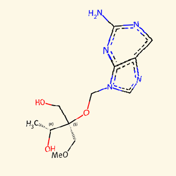 COC[C@](CO)(OCn1cnc2cnc(N)nc21)[C@@H](C)O